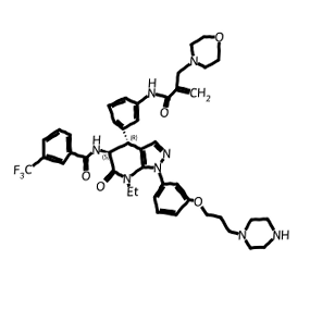 C=C(CN1CCOCC1)C(=O)Nc1cccc([C@@H]2c3cnn(-c4cccc(OCCCN5CCNCC5)c4)c3N(CC)C(=O)[C@H]2NC(=O)c2cccc(C(F)(F)F)c2)c1